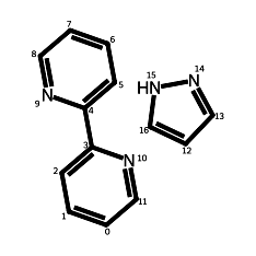 c1ccc(-c2ccccn2)nc1.c1cn[nH]c1